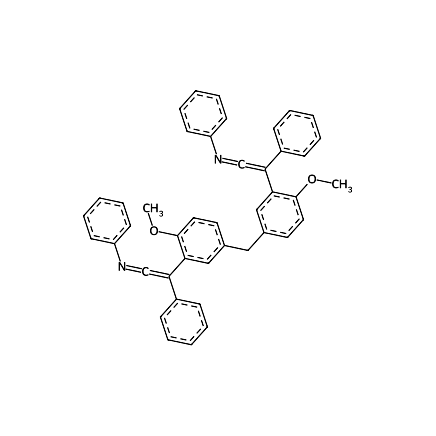 COc1ccc(Cc2ccc(OC)c(C(=C=Nc3ccccc3)c3ccccc3)c2)cc1C(=C=Nc1ccccc1)c1ccccc1